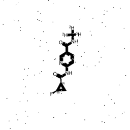 [2H]C([2H])([2H])NC(=O)c1ccc(NC(=O)[C@H]2C[C@H]2F)nc1